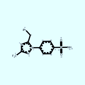 CC(C)Cc1nc(C(F)(F)F)nn1-c1ccc(S(N)(=O)=O)cc1